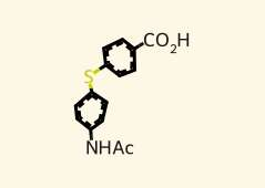 CC(=O)Nc1ccc(Sc2ccc(C(=O)O)cc2)cc1